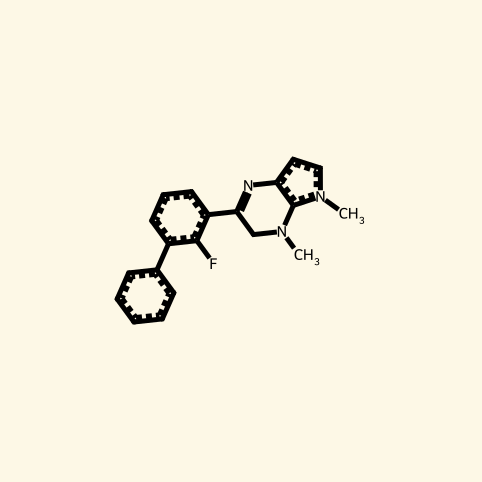 CN1CC(c2cccc(-c3ccccc3)c2F)=Nc2ccn(C)c21